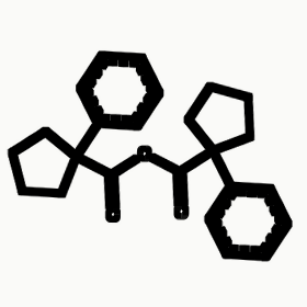 O=C(OC(=O)C1(c2ccccc2)CCCC1)C1(c2ccccc2)CCCC1